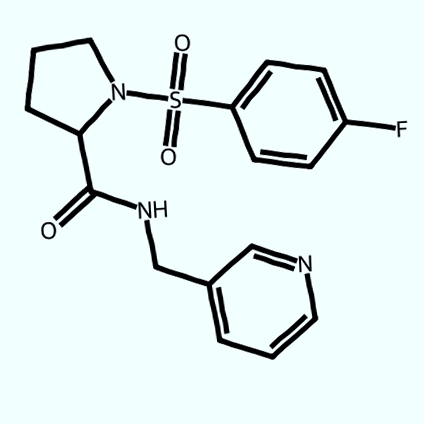 O=C(NCc1cccnc1)C1CCCN1S(=O)(=O)c1ccc(F)cc1